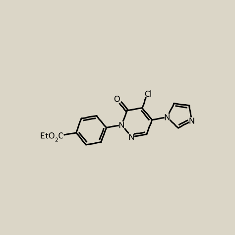 CCOC(=O)c1ccc(-n2ncc(-n3ccnc3)c(Cl)c2=O)cc1